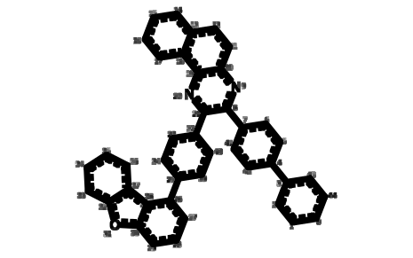 c1ccc(-c2ccc(-c3nc4ccc5ccccc5c4nc3-c3ccc(-c4cccc5oc6ccccc6c45)cc3)cc2)cc1